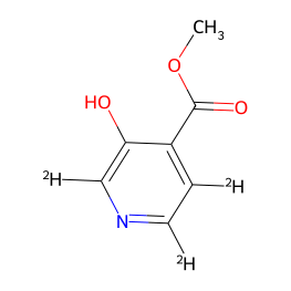 [2H]c1nc([2H])c(O)c(C(=O)OC)c1[2H]